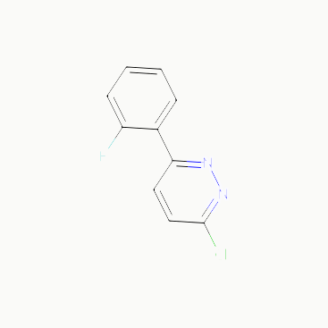 Fc1ccccc1-c1ccc(Cl)nn1